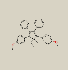 CC[Si]1(C)C(c2ccc(OC)cc2)=C(c2ccccc2)C(c2ccccc2)=C1c1ccc(OC)cc1